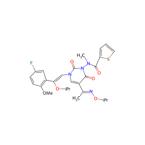 COc1ccc(F)cc1/C(=C/n1cc(/C(C)=N/OC(C)C)c(=O)n(N(C)C(=O)c2cccs2)c1=O)OC(C)C